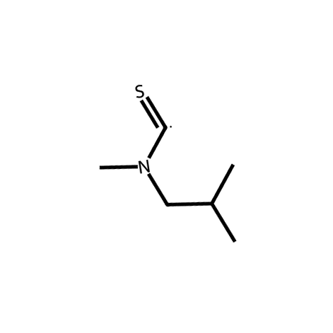 CC(C)CN(C)[C]=S